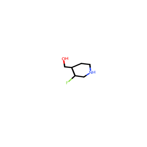 OCC1CCNCC1F